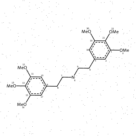 COc1cc(CC[N]CCc2cc(OC)c(OC)c(OC)c2)cc(OC)c1OC